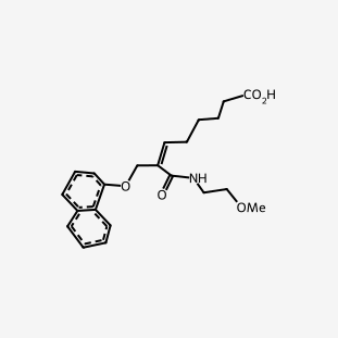 COCCNC(=O)C(=CCCCCC(=O)O)COc1cccc2ccccc12